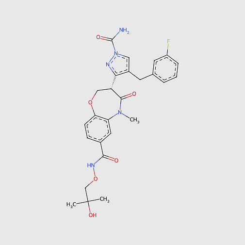 CN1C(=O)[C@@H](c2nn(C(N)=O)cc2Cc2cccc(F)c2)COc2ccc(C(=O)NOCC(C)(C)O)cc21